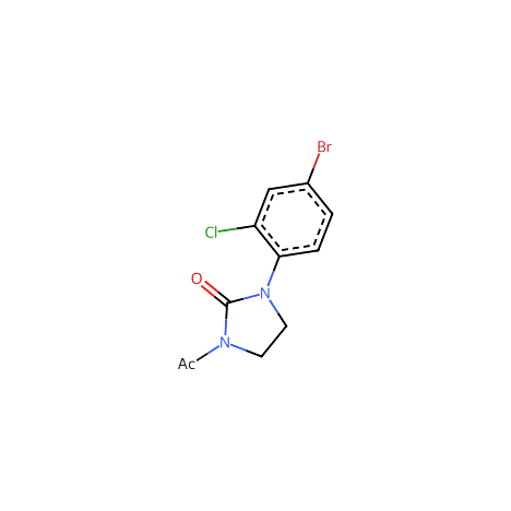 CC(=O)N1CCN(c2ccc(Br)cc2Cl)C1=O